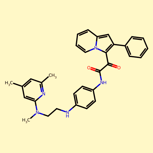 Cc1cc(C)nc(N(C)CCNc2ccc(NC(=O)C(=O)c3c(-c4ccccc4)cc4ccccn34)cc2)c1